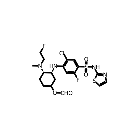 CN(CCF)[C@H]1CCC(OC=O)C[C@@H]1Nc1cc(F)c(S(=O)(=O)Nc2nccs2)cc1Cl